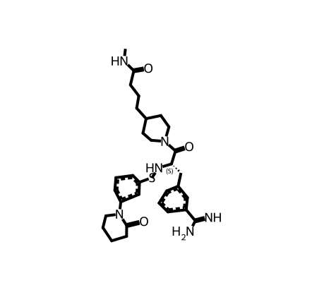 CNC(=O)CCCC1CCN(C(=O)[C@H](Cc2cccc(C(=N)N)c2)NSc2cccc(N3CCCCC3=O)c2)CC1